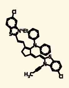 CC#CN1C(=CC=C2CCC(C=Cc3sc4ccc(Cl)cc4[n+]3CC)=C2N(c2ccccc2)c2ccccc2)Sc2ccc(Cl)cc21